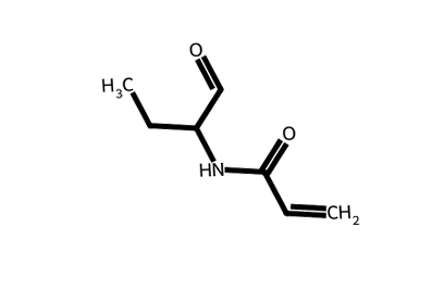 C=CC(=O)NC(C=O)CC